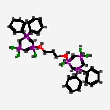 FP1(F)=CP(c2ccccc2)(c2ccccc2)=CP(F)(OCCCOP2(F)=CP(F)(F)=CP(c3ccccc3)(c3ccccc3)=C2)=C1